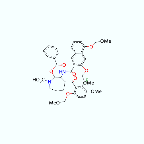 COCOc1cc2c(OCOC)cccc2cc1C(=O)NC1C(C(=O)c2c(OCOC)ccc(OC)c2F)CCCN(C(=O)O)C1OC(=O)c1ccccc1